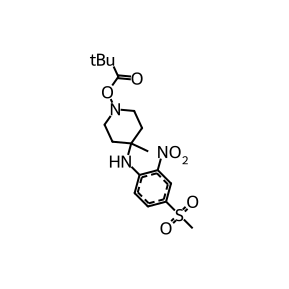 CC1(Nc2ccc(S(C)(=O)=O)cc2[N+](=O)[O-])CCN(OC(=O)C(C)(C)C)CC1